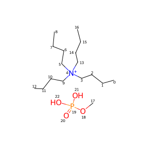 CCCC[N+](CCCC)(CCCC)CCCC.COP(=O)(O)O